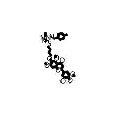 COc1cc(-c2cc(=O)c3c(OC)c(OCCCCSc4nnc(C)n4N=Cc4ccc(C)cc4)c(OC)cc3o2)cc(OC)c1OC